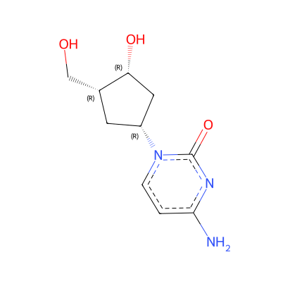 Nc1ccn([C@@H]2C[C@H](CO)[C@H](O)C2)c(=O)n1